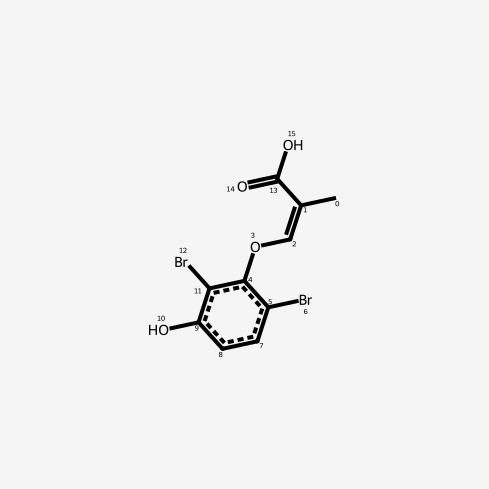 CC(=COc1c(Br)ccc(O)c1Br)C(=O)O